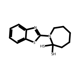 SC1(S)CCCCCN1c1nc2ccccc2s1